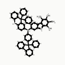 Bc1c(O)c(B)c2c(oc3cc(N(c4ccc(C5(c6ccccc6)c6ccccc6-c6ccccc65)cc4)c4ccc5c(c4)C(c4ccccc4)(c4ccccc4)c4ccccc4S5)ccc32)c1O